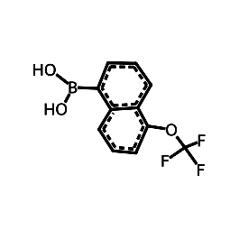 OB(O)c1cccc2c(OC(F)(F)F)cccc12